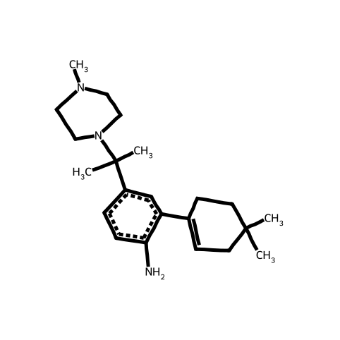 CN1CCN(C(C)(C)c2ccc(N)c(C3=CCC(C)(C)CC3)c2)CC1